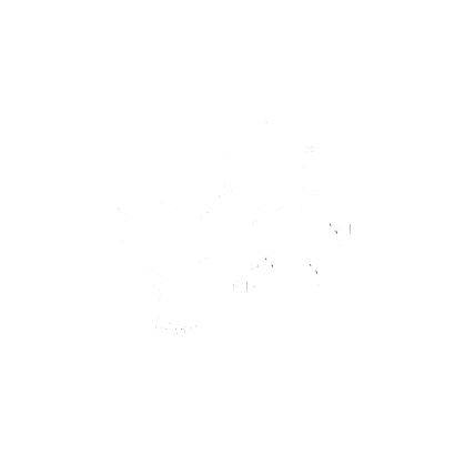 CCCCCc1ccccc1O.c1ccc2[nH]nnc2c1